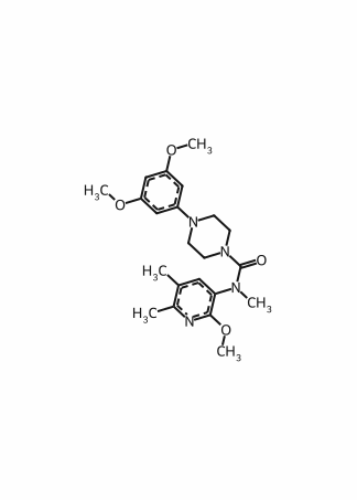 COc1cc(OC)cc(N2CCN(C(=O)N(C)c3cc(C)c(C)nc3OC)CC2)c1